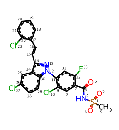 CS(=O)(=O)NC(=O)c1cc(Cl)c(-n2nc(C=Cc3ccccc3Cl)c3cc(Cl)ccc32)cc1F